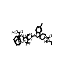 CCNC(=O)N1CCC2(CC1)CN(c1ncc(C(=O)NC3(C(=O)O)C4CC5CC(C4)CC3C5)c(C(F)(F)F)n1)c1ccc(C)cc12